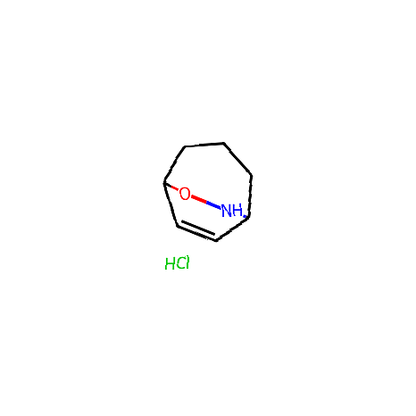 C1=CC2CCCC1NO2.Cl